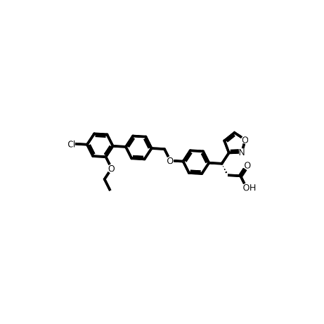 CCOc1cc(Cl)ccc1-c1ccc(COc2ccc([C@@H](CC(=O)O)c3ccon3)cc2)cc1